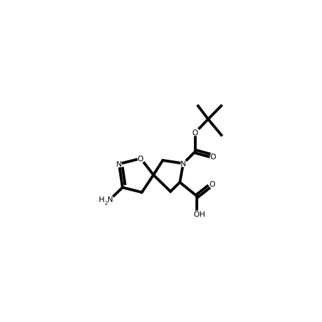 CC(C)(C)OC(=O)N1CC2(CC(N)=NO2)CC1C(=O)O